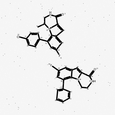 CC1CNC(=O)c2cc3cc(F)cc(-c4ccc(Cl)cc4)c3n21.O=C1NCCn2c1cc1cc(F)cc(-c3ccccc3)c12